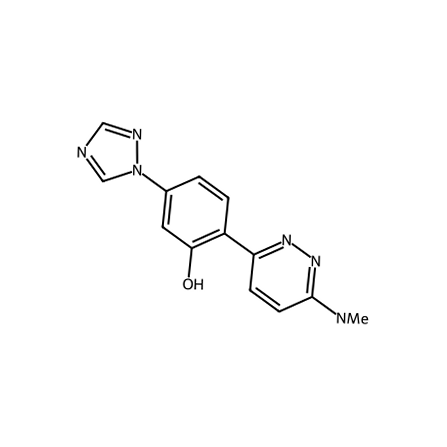 CNc1ccc(-c2ccc(-n3cncn3)cc2O)nn1